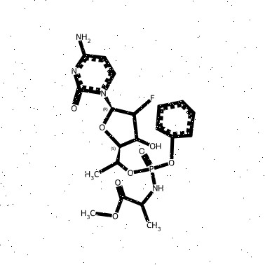 COC(=O)C(C)NP(=O)(Oc1ccccc1)OC(C)[C@H]1O[C@@H](n2ccc(N)nc2=O)C(F)C1O